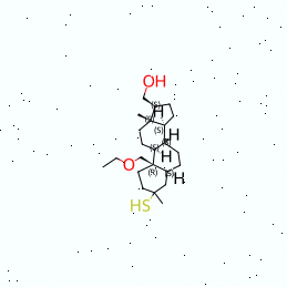 CCOC[C@]12CCC(C)(S)C[C@@H]1CC[C@H]1[C@@H]3CC[C@H](CO)[C@@]3(C)CC[C@@H]12